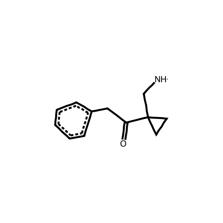 [NH]CC1(C(=O)Cc2ccccc2)CC1